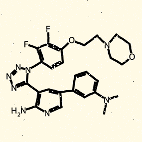 CN(C)c1cccc(-c2cnc(N)c(-c3nnnn3-c3ccc(OCCN4CCOCC4)c(F)c3F)c2)c1